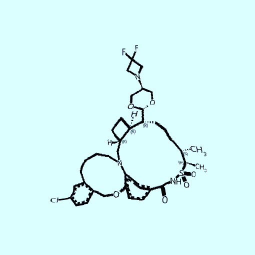 C[C@@H]1[C@@H](C)CCC[C@@H]([C@H]2OC[C@H](N3CC(F)(F)C3)CO2)[C@@H]2CC[C@H]2CN2CCCCc3cc(Cl)ccc3COc3ccc(cc32)C(=O)NS1(=O)=O